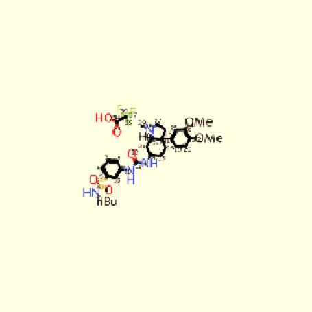 CCCCNS(=O)(=O)c1cccc(NC(=O)N[C@@H]2CC[C@@]3(c4ccc(OC)c(OC)c4)CCN(C)[C@H]3C2)c1.O=C(O)C(F)(F)F